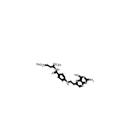 CCOC(=O)CCC(NC(=O)c1ccc(NCCc2cnc3nc(N)nc(O)c3n2)cc1)C(=O)OCC